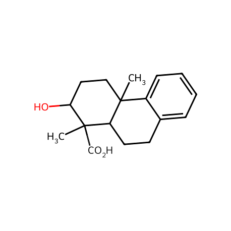 CC12CCC(O)C(C)(C(=O)O)C1CCc1ccccc12